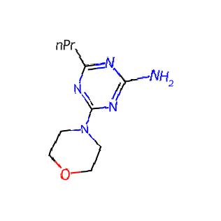 CCCc1nc(N)nc(N2CCOCC2)n1